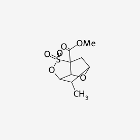 COC(=O)C12CC3OC1C(OS2(=O)=O)C3C